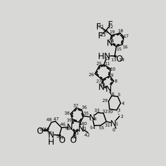 CN(C[C@H]1CC[C@H](n2cc3cc(NC(=O)c4cccc(C(F)(F)F)n4)ccc3n2)CC1)C1CCN(c2cccc3c2n(C)c(=O)n3C2CCC(=O)NC2=O)CC1